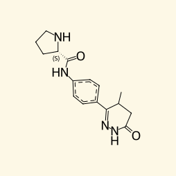 CC1CC(=O)NN=C1c1ccc(NC(=O)[C@@H]2CCCN2)cc1